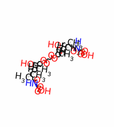 C[C@H](CCC(=O)NCCS(=O)(=O)O)[C@H]1CC[C@H]2[C@@H]3[C@@H](O)CC4C[C@H](OC(=O)CCC(=O)O[C@H]5CC[C@]6(C)C(C5)C[C@@H](O)[C@@H]5C7CC[C@@H]([C@@H](C)CCC(=O)NCCS(=O)(=O)O)[C@]7(C)CC[C@H]56)CC[C@]4(C)[C@H]3CC[C@]12C